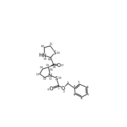 O=C(OCc1ccccc1)SN1CCC[C@H]1C(=O)C1NCCS1